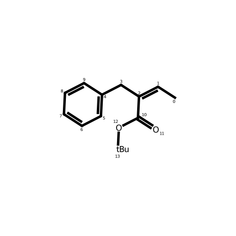 CC=C(Cc1ccccc1)C(=O)OC(C)(C)C